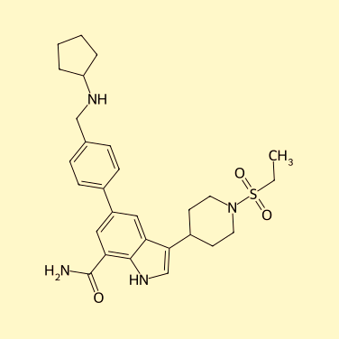 CCS(=O)(=O)N1CCC(c2c[nH]c3c(C(N)=O)cc(-c4ccc(CNC5CCCC5)cc4)cc23)CC1